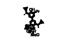 CCC(C)(NP(=O)(COC)Oc1c(C(C)C)cc(-c2cc(C(C)C)c(O)c([C@H](C)C3CC3)c2)cc1[C@H](C)C1CC1)C(=O)O